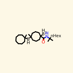 BC1(C(=O)NC(C)(C)CCCCCC)CCCC(C)(BC2(C)CCCCCCC2)CCC1